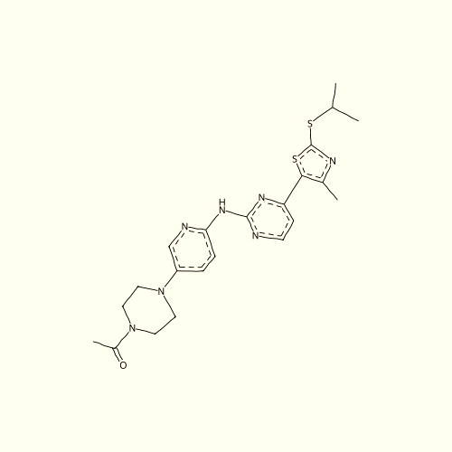 CC(=O)N1CCN(c2ccc(Nc3nccc(-c4sc(SC(C)C)nc4C)n3)nc2)CC1